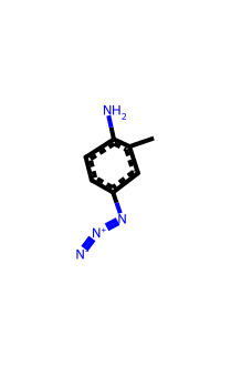 Cc1cc(N=[N+]=[N-])ccc1N